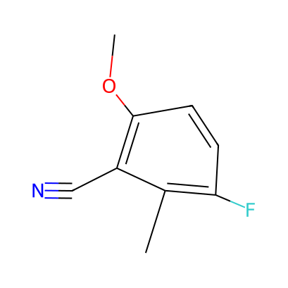 COc1ccc(F)c(C)c1C#N